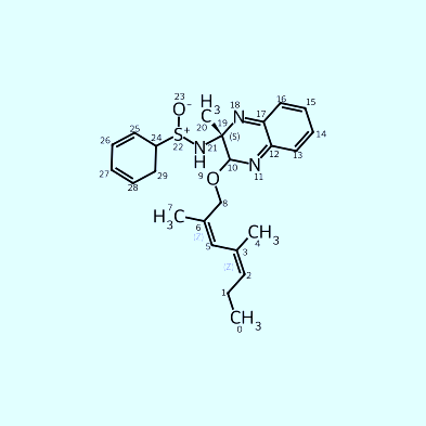 CC/C=C(C)\C=C(\C)COC1N=c2ccccc2=N[C@@]1(C)N[S+]([O-])C1C=CC=CC1